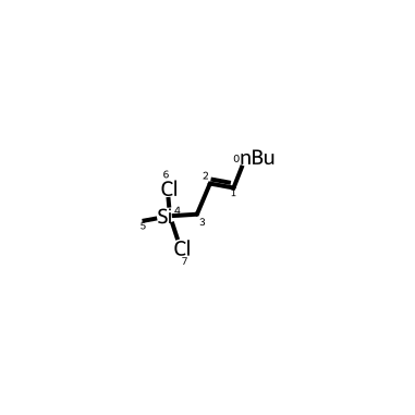 CCCCC=CC[Si](C)(Cl)Cl